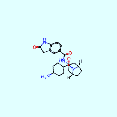 NC1CCC(C(=O)N2[C@@H]3CC[C@H]2C[C@@H](NC(=O)c2ccc4c(c2)CC(=O)N4)C3)CC1